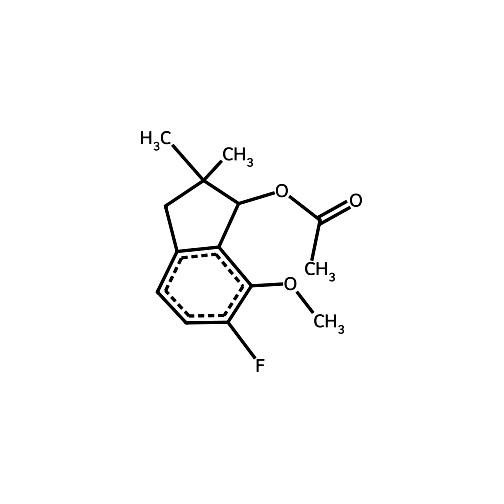 COc1c(F)ccc2c1C(OC(C)=O)C(C)(C)C2